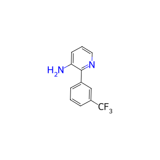 Nc1cccnc1-c1cccc(C(F)(F)F)c1